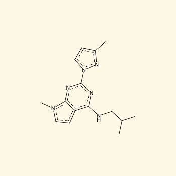 Cc1ccn(-c2nc(NCC(C)C)c3ccn(C)c3n2)n1